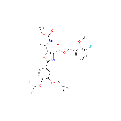 CCOc1c(F)cccc1COC(=O)c1nc(-c2ccc(OC(F)F)c(OCC3CC3)c2)oc1C(C)NC(=O)OC(C)(C)C